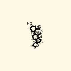 C[C@]12CC[C@H](O)C[C@@H]1C(=O)OC[C@@H]1[C@@H]2CC[C@@]2(C)[C@H]1CCC21OCCO1